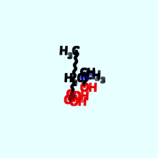 CCCCCCCCCCCCOP(=O)(O)O.C[N+](C)(C)CCO